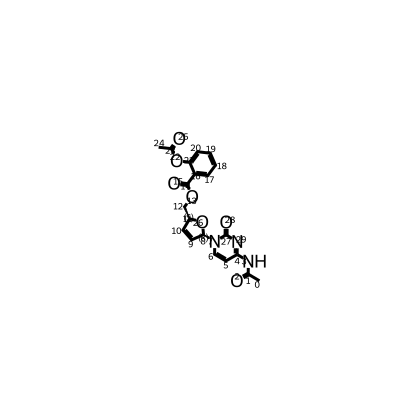 CC(=O)Nc1ccn([C@H]2C=C[C@@H](COC(=O)c3ccccc3OC(C)=O)O2)c(=O)n1